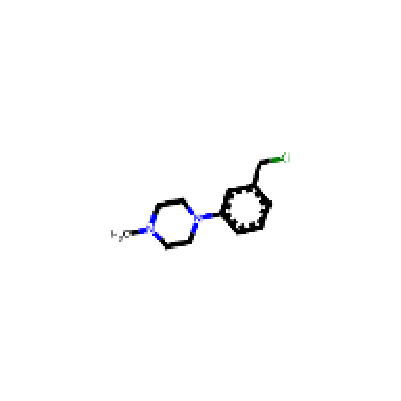 CN1CCN(c2cccc(CCl)c2)CC1